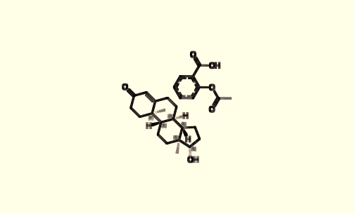 CC(=O)Oc1ccccc1C(=O)O.C[C@]12CC[C@H]3[C@@H](CCC4=CC(=O)CC[C@@]43C)[C@@H]1CC[C@@H]2O